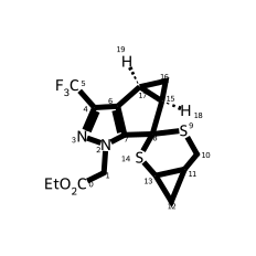 CCOC(=O)Cn1nc(C(F)(F)F)c2c1C1(SCC3CC3S1)[C@@H]1C[C@H]21